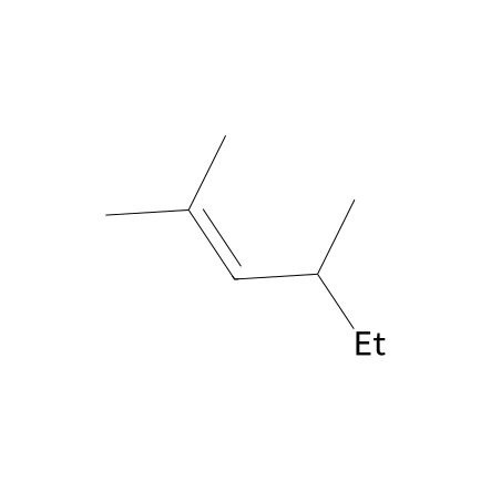 CCC(C)C=C(C)C